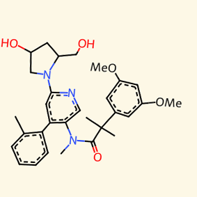 COc1cc(OC)cc(C(C)(C)C(=O)N(C)c2cnc(N3CC(O)CC3CO)cc2-c2ccccc2C)c1